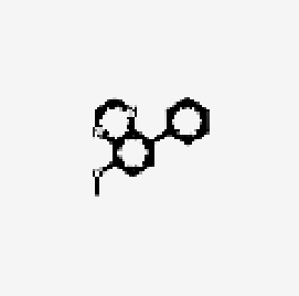 COc1ccc(-c2ccccc2)c2nccnc12